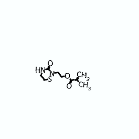 C=C(C)C(=O)OCCN1SCCNC1=O